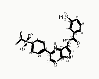 CC(C)S(=O)(=O)c1ccc(-c2cnc3[nH]cc(NC(=O)c4cccc(N)c4)c3n2)cc1